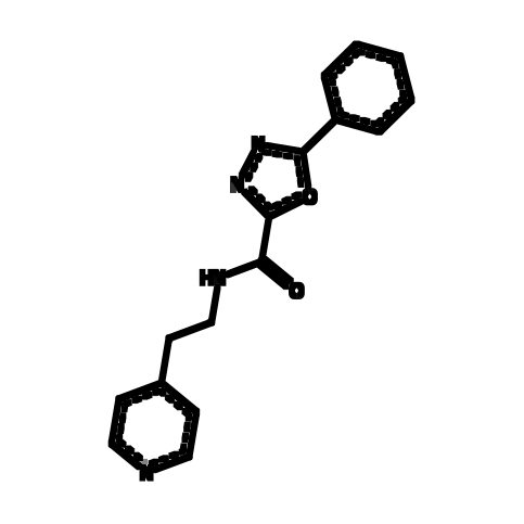 O=C(NCCc1ccncc1)c1nnc(-c2ccccc2)o1